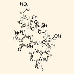 Nc1nc2c(nnn2[C@@H]2O[C@H](CCO)[C@H](F)[C@H]2OP(=O)(S)OC[C@H]2O[C@@H](c3cnn4c(N)ncnc34)C[C@@H]2O)c(=O)[nH]1